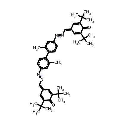 Cc1cc(/N=N/C=C2C=C(C(C)(C)C)C(=O)C(C(C)(C)C)=C2)ccc1-c1ccc(/N=N/C=C2C=C(C(C)(C)C)C(=O)C(C(C)(C)C)=C2)cc1C